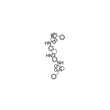 CCCN(CC(=O)Nc1ccc2c(c1)CCc1c-2[nH]c2ccc(NC(=O)[C@@H]3CCCN3C(=O)Cc3ccccc3)cc12)C(=O)Cc1ccccc1